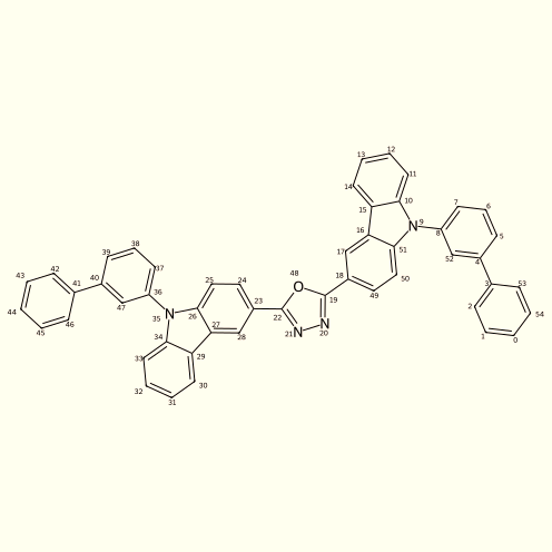 c1ccc(-c2cccc(-n3c4ccccc4c4cc(-c5nnc(-c6ccc7c(c6)c6ccccc6n7-c6cccc(-c7ccccc7)c6)o5)ccc43)c2)cc1